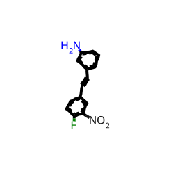 Nc1cccc(C#Cc2ccc(F)c([N+](=O)[O-])c2)c1